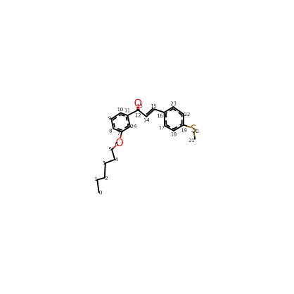 CCCCCCOc1cccc(C(=O)C=Cc2ccc(SC)cc2)c1